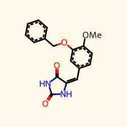 COc1ccc(C=C2NC(=O)NC2=O)cc1OCc1ccccc1